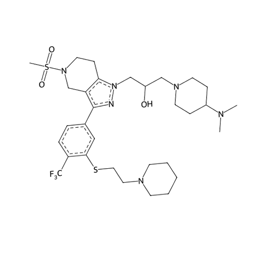 CN(C)C1CCN(CC(O)Cn2nc(-c3ccc(C(F)(F)F)c(SCCN4CCCCC4)c3)c3c2CCN(S(C)(=O)=O)C3)CC1